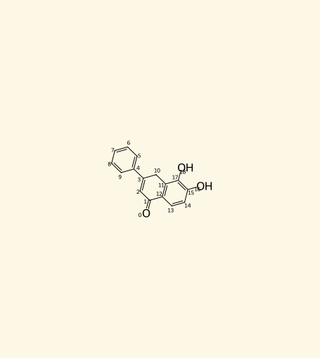 O=C1C=C(c2ccccc2)Cc2c1ccc(O)c2O